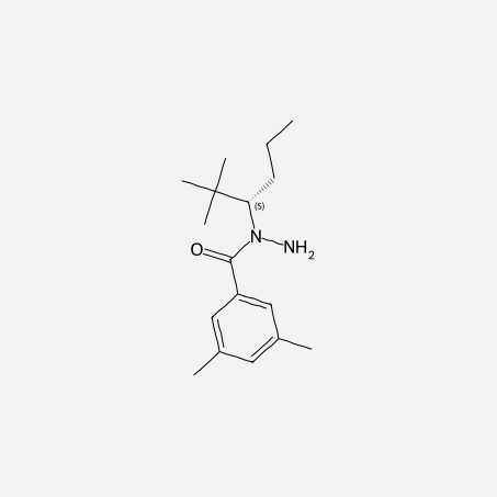 CCC[C@H](N(N)C(=O)c1cc(C)cc(C)c1)C(C)(C)C